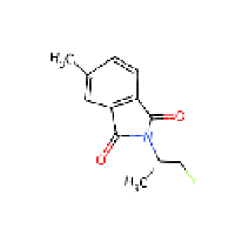 Cc1ccc2c(c1)C(=O)N([C@@H](C)CF)C2=O